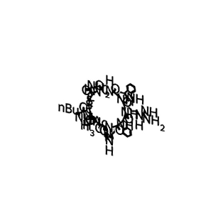 CCCC[C@H](NC(C)=O)C(=O)N[C@H]1CSSC[C@@H](C(N)=O)NC(=O)CNC(=O)[C@H](Cc2c[nH]c3ccccc23)NC(=O)[C@H](CCCNC(=N)N)NC(=O)[C@@H](Cc2ccccc2)NC(=O)[C@H](Cc2c[nH]cn2)NC(=O)[C@@H](C)NC1=O